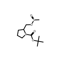 CS(=O)OCC1CCCN1C(=O)OC(C)(C)C